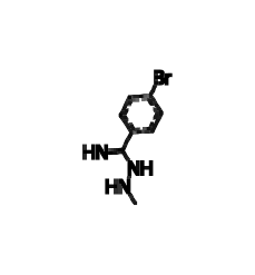 CNNC(=N)c1ccc(Br)cc1